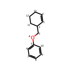 C1=CC(COc2ccccc2)CCC1